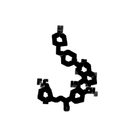 Cc1ccc(C(=O)CCc2cc(C(F)(F)F)ccn2)cc1Nc1ncnc2cnc(N3CCN(CC4CCNCC4)CC3)nc12